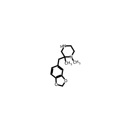 CN1CCNCC1(C)Cc1ccc2c(c1)OCO2